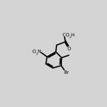 Cc1c(Br)ccc([N+](=O)[O-])c1CC(=O)C(=O)O